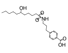 CCCCCC(O)CCCCS(=O)(=O)NCCCc1ccc(C(=O)O)cc1